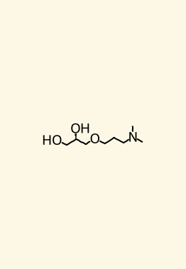 CN(C)CCCOC[C@H](O)CO